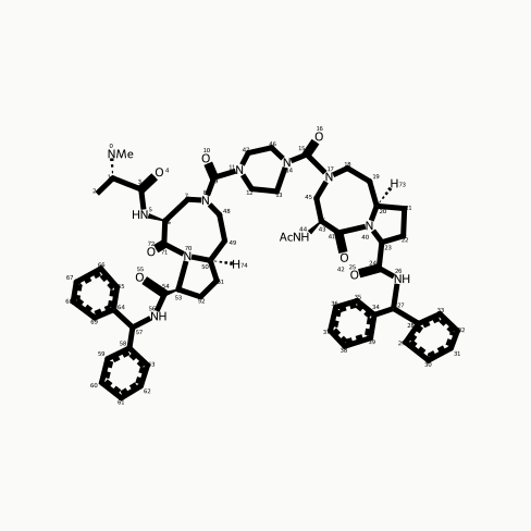 CN[C@@H](C)C(=O)N[C@H]1CN(C(=O)N2CCN(C(=O)N3CC[C@H]4CCC(C(=O)NC(c5ccccc5)c5ccccc5)N4C(=O)[C@@H](NC(C)=O)C3)CC2)CC[C@H]2CC[C@@H](C(=O)NC(c3ccccc3)c3ccccc3)N2C1=O